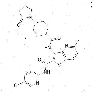 Cc1ccc2oc(C(=O)Nc3ccc(Cl)cn3)c(NC(=O)C3CCC(N4CCCC4=O)CC3)c2n1